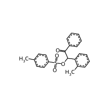 Cc1ccc(S(=O)(=O)OC(C(=O)c2ccccc2)c2ccccc2C)cc1